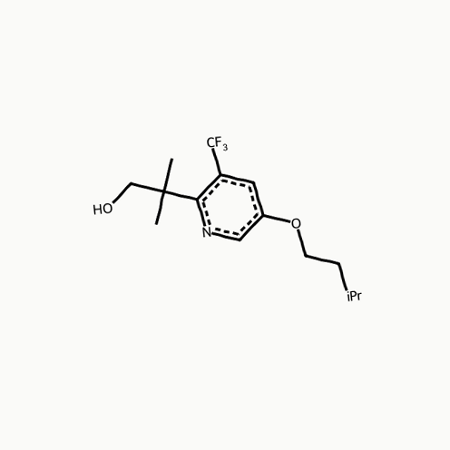 CC(C)CCOc1cnc(C(C)(C)CO)c(C(F)(F)F)c1